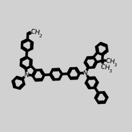 C=Cc1ccc(-c2ccc3c(c2)c2cc(C4=CCC(c5ccc(N(c6ccc(-c7ccccc7)cc6)c6ccc7c(c6)C(C)(C)c6ccccc6-7)cc5)C=C4)ccc2n3-c2ccccc2)cc1